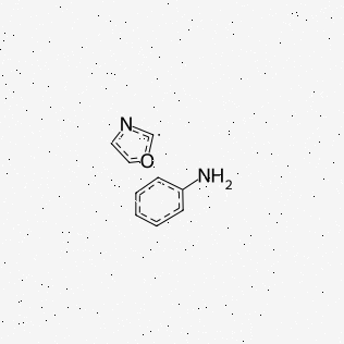 Nc1ccccc1.[c]1ncco1